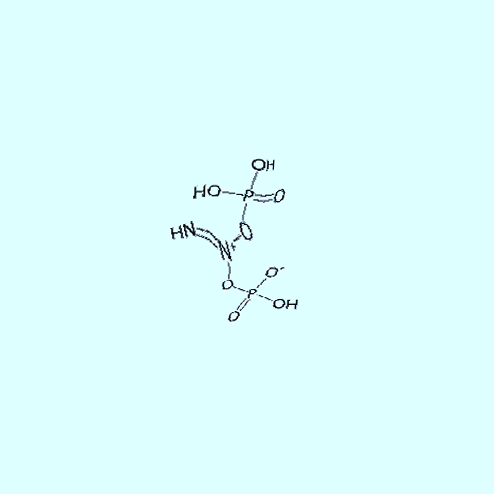 N=[N+](OP(=O)([O-])O)OP(=O)(O)O